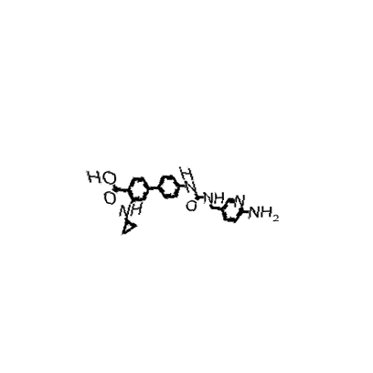 Nc1ccc(CNC(=O)Nc2ccc(-c3ccc(C(=O)O)c(NC4CC4)c3)cc2)cn1